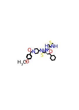 COc1ccc(C(=O)N2CCC(NC(=S)[C@@H](CCC3CCCCC3)NC(=O)[C@@H]3CSCN3)CC2)cc1